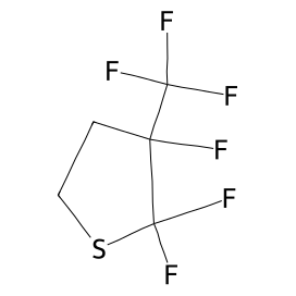 FC(F)(F)C1(F)CCSC1(F)F